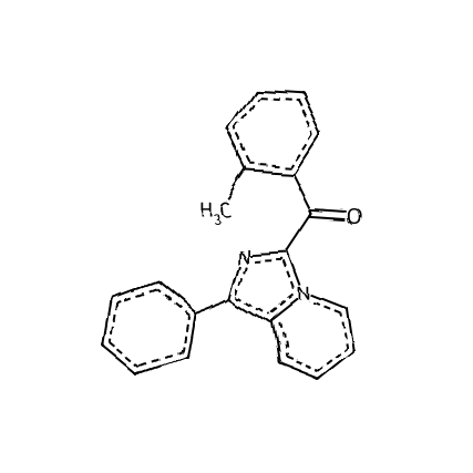 Cc1ccccc1C(=O)c1nc(-c2ccccc2)c2ccccn12